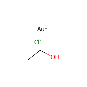 CCO.[Au+].[Cl-]